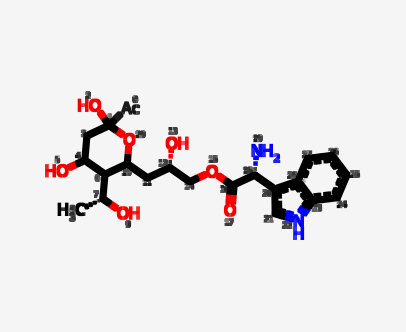 CC(=O)C1(O)CC(O)C([C@@H](C)O)C(C[C@H](O)COC(=O)[C@H](N)c2c[nH]c3ccccc23)O1